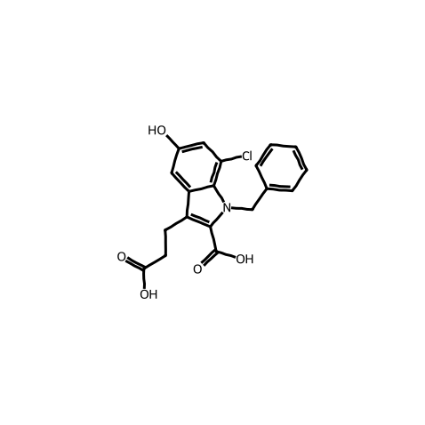 O=C(O)CCc1c(C(=O)O)n(Cc2ccccc2)c2c(Cl)cc(O)cc12